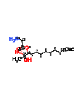 CCCCCCCCCCCCCCCCCC(OC(=O)CN)C(C)(O)O